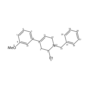 CCC1CC(c2cccc(OC)c2)=CCN1Cc1ccccc1